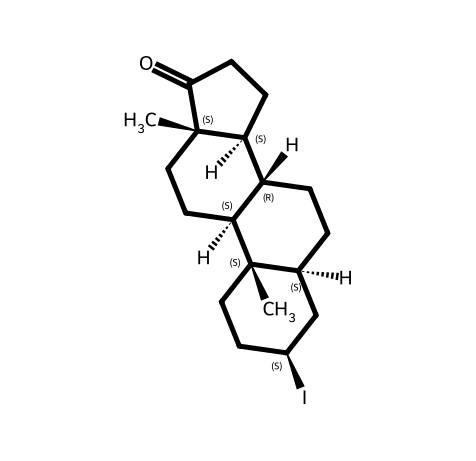 C[C@]12CC[C@H](I)C[C@@H]1CC[C@@H]1[C@@H]2CC[C@]2(C)C(=O)CC[C@@H]12